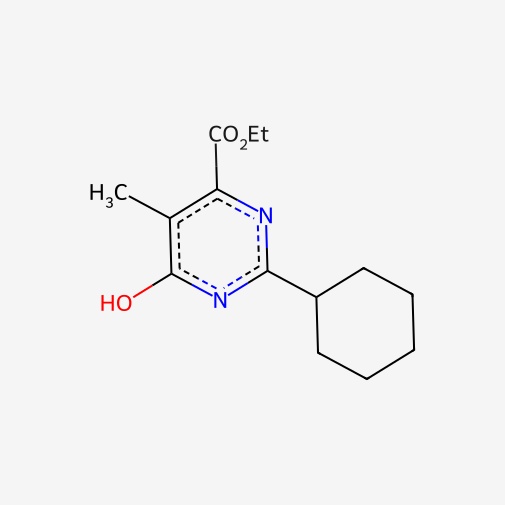 CCOC(=O)c1nc(C2CCCCC2)nc(O)c1C